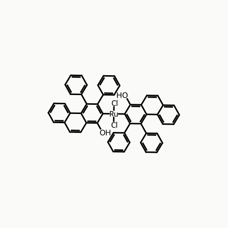 Oc1[c]([Ru]([Cl])([Cl])[c]2c(-c3ccccc3)c(-c3ccccc3)c3c(ccc4ccccc43)c2O)c(-c2ccccc2)c(-c2ccccc2)c2c1ccc1ccccc12